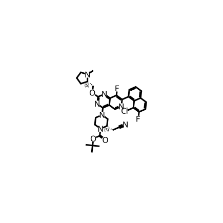 CN1CCC[C@H]1COc1nc(N2CCN(C(=O)OC(C)(C)C)[C@@H](CC#N)C2)c2cnc(-c3cccc4ccc(F)c(Cl)c34)c(F)c2n1